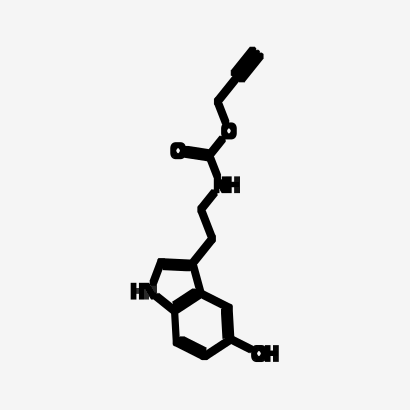 C#CCOC(=O)NCCc1c[nH]c2ccc(O)cc12